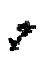 Cc1ncsc1-c1ccc([C@H](C)NC(=O)C2C[C@@H](O)CN2C(=O)[C@H](c2onc(OCCN3CCN(CCOc4cc(N5C6CCC5CN(c5cc(-c7ccccc7O)nnc5N)C6)ccn4)CC3)c2Cl)C(C)C)cc1